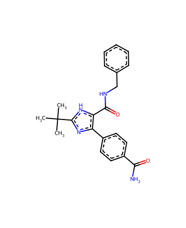 CC(C)(C)c1nc(-c2ccc(C(N)=O)cc2)c(C(=O)NCc2ccccc2)[nH]1